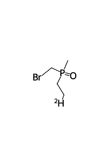 [2H]CCP(C)(=O)CBr